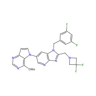 COc1ncnc2ccn(-c3cnc4nc(CN5CC(F)(F)C5)n(Cc5cc(F)cc(F)c5)c4c3)c12